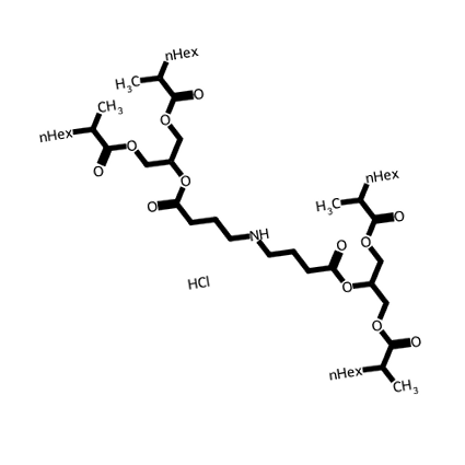 CCCCCCC(C)C(=O)OCC(COC(=O)C(C)CCCCCC)OC(=O)CCCNCCCC(=O)OC(COC(=O)C(C)CCCCCC)COC(=O)C(C)CCCCCC.Cl